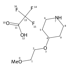 COCCOC1CCNCC1.O=C(O)C(F)(F)F